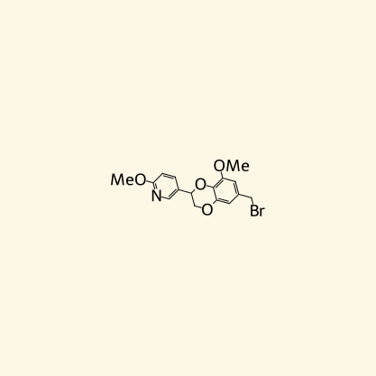 COc1ccc(C2COc3cc(CBr)cc(OC)c3O2)cn1